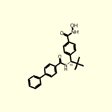 CC(C)(C)[C@H](NC(=O)c1ccc(-c2ccccc2)cc1)c1ccc(C(=O)NO)cc1